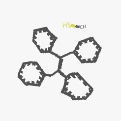 N#CS.c1ccc(C(=C(c2ccccc2)c2ccccc2)c2ccccc2)cc1